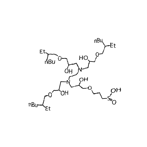 CCCCC(CC)COCC(O)CN(CCN(CC(O)COCC(CC)CCCC)CC(O)COCC(CC)CCCC)CC(O)COCCCS(=O)O